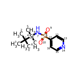 CC(C)(C)[Si](C)(C)NS(=O)(=O)c1ccncc1